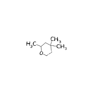 CC1CC(C)(C)CCO1